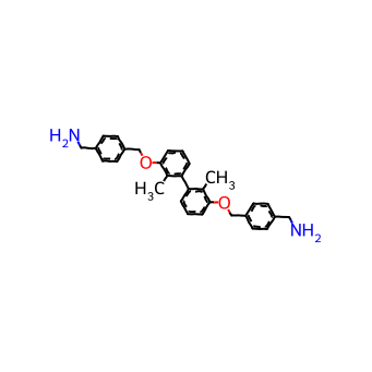 Cc1c(OCc2ccc(CN)cc2)cccc1-c1cccc(OCc2ccc(CN)cc2)c1C